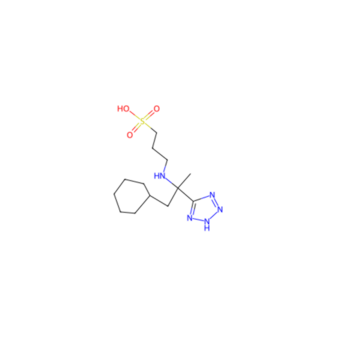 CC(CC1CCCCC1)(NCCCS(=O)(=O)O)c1nn[nH]n1